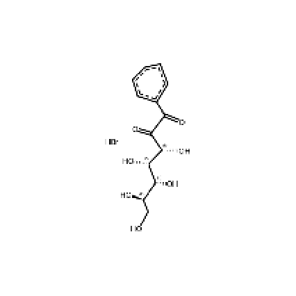 Br.O=C(C(=O)[C@H](O)[C@@H](O)[C@H](O)[C@H](O)CO)c1ccccc1